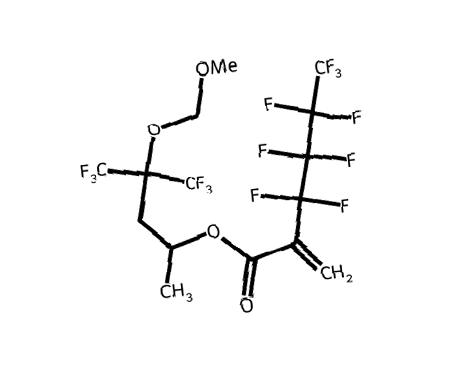 C=C(C(=O)OC(C)CC(OCOC)(C(F)(F)F)C(F)(F)F)C(F)(F)C(F)(F)C(F)(F)C(F)(F)F